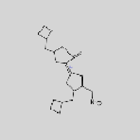 C=C1CC(CC2CCC2)C/C1=C1/CC(CN=O)C(CC2CCC2)C1